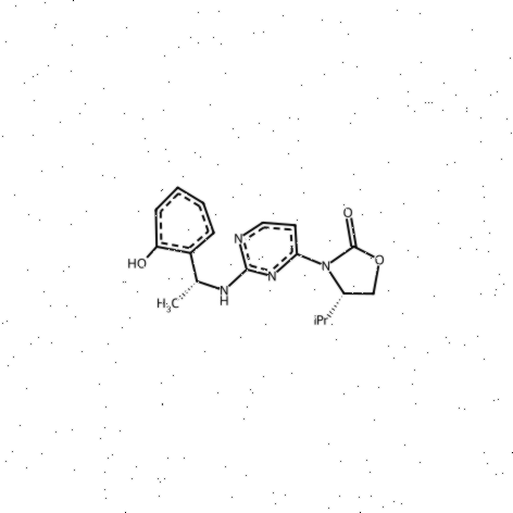 CC(C)[C@H]1COC(=O)N1c1ccnc(N[C@H](C)c2ccccc2O)n1